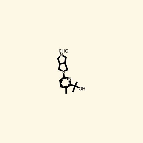 Cc1ccc(N2CC3CN(C=O)CC3C2)nc1C(C)(C)O